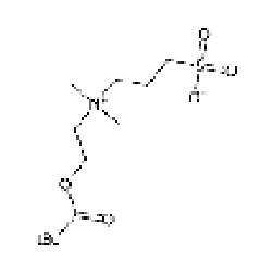 CC(C)(C)C(=O)OCC[N+](C)(C)CCCS(=O)(=O)[O-]